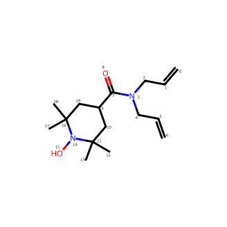 C=CCN(CC=C)C(=O)C1CC(C)(C)N(O)C(C)(C)C1